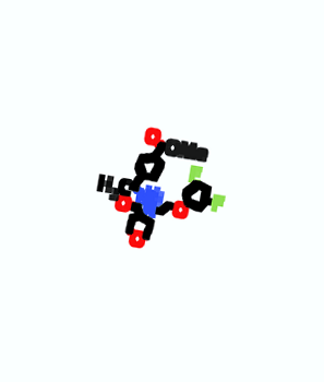 COC(=O)c1ccc(C(C)NC(=O)C2(NCCOc3cc(F)cc(F)c3)CCOCC2)cc1